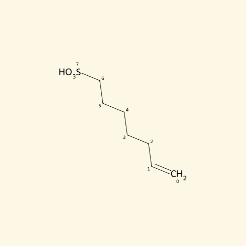 C=CCCCCCS(=O)(=O)O